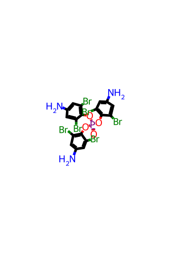 Nc1cc(Br)c(OP(=O)(Oc2c(Br)cc(N)cc2Br)Oc2c(Br)cc(N)cc2Br)c(Br)c1